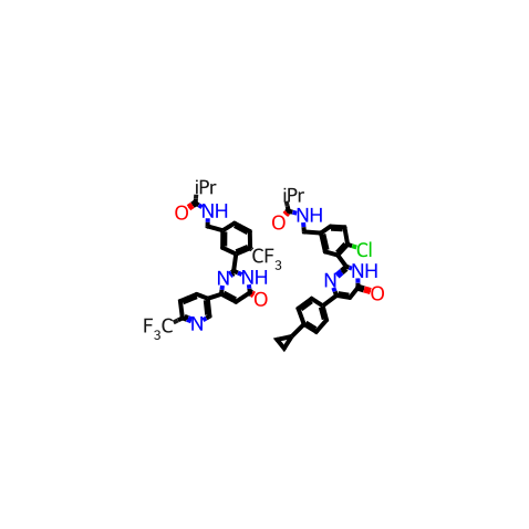 CC(C)C(=O)NCc1ccc(C(F)(F)F)c(-c2nc(-c3ccc(C(F)(F)F)nc3)cc(=O)[nH]2)c1.CC(C)C(=O)NCc1ccc(Cl)c(-c2nc(-c3ccc(C4CC4)cc3)cc(=O)[nH]2)c1